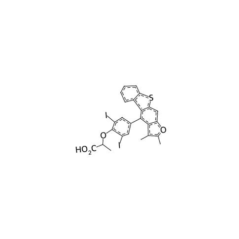 Cc1oc2cc3sc4ccccc4c3c(-c3cc(I)c(OC(C)C(=O)O)c(I)c3)c2c1C